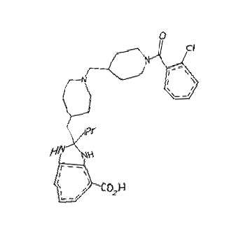 CC(C)C1(CC2CCN(CC3CCN(C(=O)c4ccccc4Cl)CC3)CC2)Nc2cccc(C(=O)O)c2N1